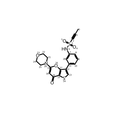 CC#CS(=O)(=O)Nc1cccc(-c2csc3c(=O)cc(N4CCOCC4)oc23)c1